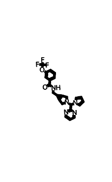 O=C(NCC1C2CN(C(c3ncccn3)n3cccc3)CC12)c1cccc(OC(F)(F)F)c1